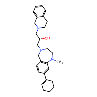 CN1CCN(C[C@H](O)CN2CCc3ccccc3C2)Cc2ccc(C3=CCCCC3)cc21